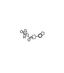 O=C1NC2(CO1)CC(C(=O)N1CCC(c3ccc4c(c3)CCC4)CC1)C2